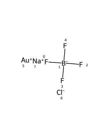 F[B-](F)(F)F.[Au+].[Cl-].[Na+]